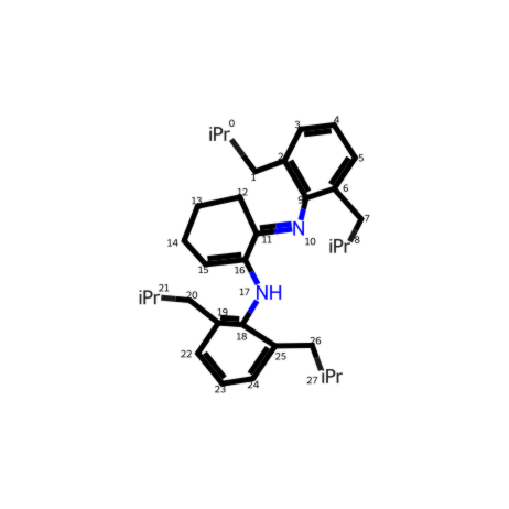 CC(C)Cc1cccc(CC(C)C)c1/N=C1\CCCC=C1Nc1c(CC(C)C)cccc1CC(C)C